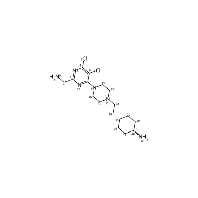 NCc1nc(Cl)c(Cl)c(N2CCN(CC[C@H]3CC[C@H](N)CC3)CC2)n1